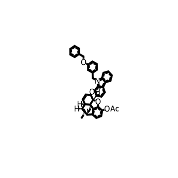 CC(=O)Oc1ccc2c3c1O[C@@]1(c4ccc5c6ccccc6n(Cc6cccc(OCc7ccccc7)c6)c5c4)[C@@H](O)C=C[C@H]4[C@@H](C2)N(C)CC[C@@]341